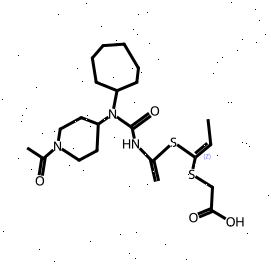 C=C(NC(=O)N(C1CCCCCC1)C1CCN(C(C)=O)CC1)S/C(=C\C)SCC(=O)O